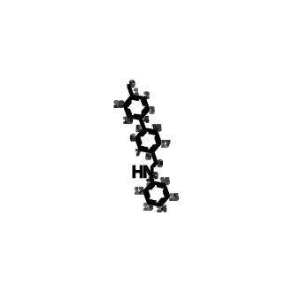 Cc1ccc(-c2ccc(CNc3ccccc3)cc2)cc1